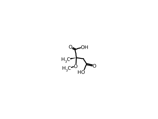 CO[C@@](C)(CC(=O)O)C(=O)O